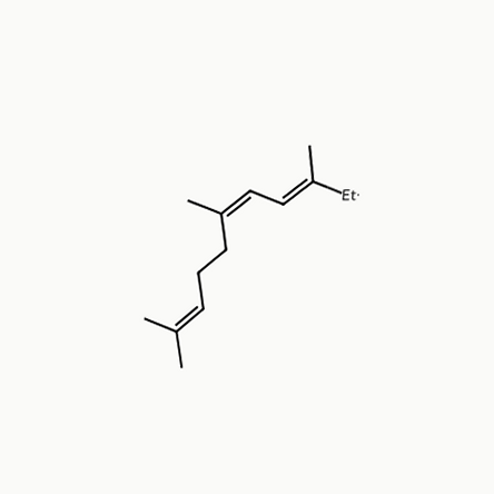 C[CH]C(C)=CC=C(C)CCC=C(C)C